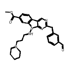 COC(=O)c1ccc2c3cnc(Cc4cccc(C=O)c4)nc3n(NCCCN3CCCCC3)c2c1